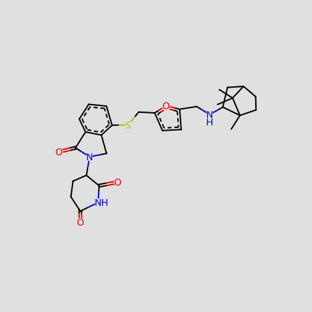 CC1(C)C2CCC1(C)C(NCc1ccc(CSc3cccc4c3CN(C3CCC(=O)NC3=O)C4=O)o1)C2